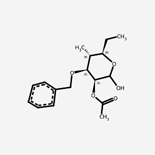 CC[C@H]1OC(O)[C@@H](OC(C)=O)[C@@H](OCc2ccccc2)[C@@H]1C